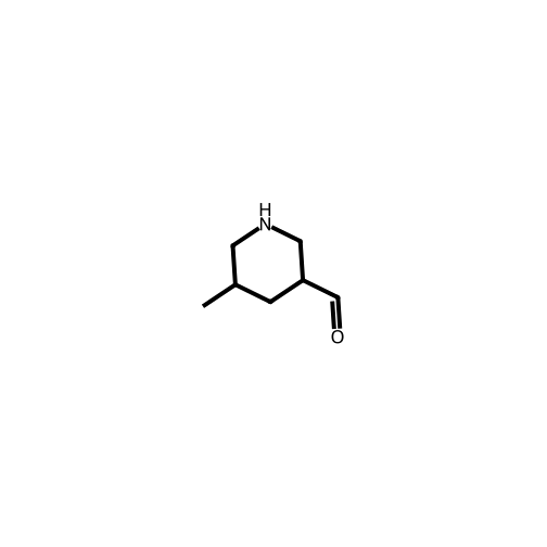 CC1CNCC(C=O)C1